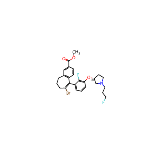 COC(=O)c1ccc2c(c1)CCCC(Br)=C2c1cccc(O[C@@H]2CCN(CCCF)C2)c1F